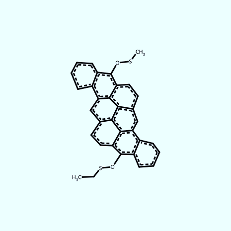 CCSOc1c2ccccc2c2cc3ccc4c(OSC)c5ccccc5c5cc6ccc1c2c6c3c45